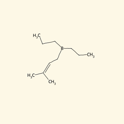 CCCB(CC=C(C)C)CCC